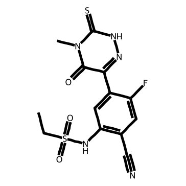 CCS(=O)(=O)Nc1cc(-c2n[nH]c(=S)n(C)c2=O)c(F)cc1C#N